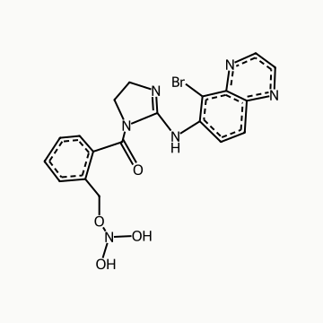 O=C(c1ccccc1CON(O)O)N1CCN=C1Nc1ccc2nccnc2c1Br